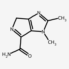 Cc1nc2c(n1C)C(C(N)=O)=NC2